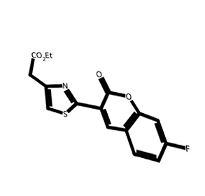 CCOC(=O)Cc1csc(-c2cc3ccc(F)cc3oc2=O)n1